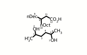 CC(O)CCC(C)O.CCCCCCCCCCC(CCCCCCCC)CC(=O)O